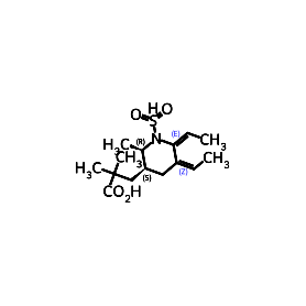 C/C=C1/C[C@@H](CC(C)(C)C(=O)O)[C@@H](C)N([SH](=O)=O)/C1=C/C